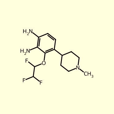 CN1CCC(c2ccc(N)c(N)c2OC(F)C(F)F)CC1